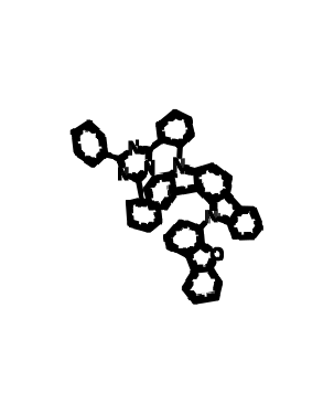 c1ccc(-c2nc(-c3ccccc3)nc(-c3ccccc3-n3c4ccccc4c4c3ccc3c5ccccc5n(-c5cccc6c5oc5ccccc56)c34)n2)cc1